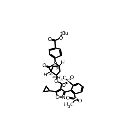 CC(C)(C)OC(=O)c1ccc(N2C(=O)[C@@H]3C[C@H]2C[C@H]3OCc2c(-c3c(S(C)(=O)=O)cccc3S(C)(=O)=O)noc2C2CC2)cc1